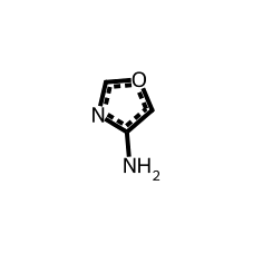 Nc1cocn1